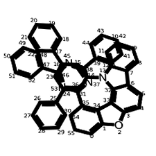 C1=c2oc3ccc4c5ccccc5n(-c5cc(-c6ccccc6)cc(-c6ccccc6)c5)c4c3c2=C(c2nc(-c3ccccc3)nc(-c3ccccc3)n2)CC1